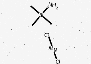 C[Si](C)(C)N.[Cl][Mg][Cl]